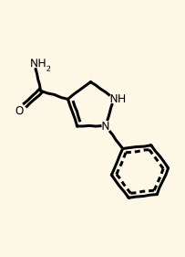 NC(=O)C1=CN(c2ccccc2)NC1